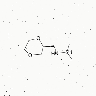 C[SH](C)NC[C@H]1COCCO1